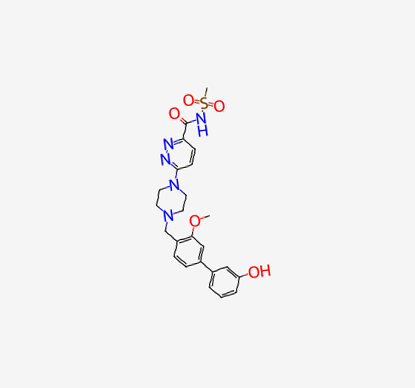 COc1cc(-c2cccc(O)c2)ccc1CN1CCN(c2ccc(C(=O)NS(C)(=O)=O)nn2)CC1